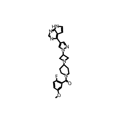 COc1ccc(F)c(C(=O)N2CCC(N3CC(n4cc(-c5ncnc6[nH]ccc56)cn4)C3)CC2)c1